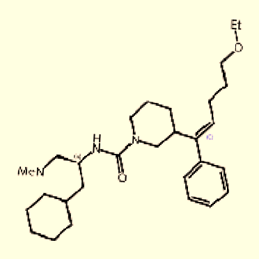 CCOCCC/C=C(/c1ccccc1)C1CCCN(C(=O)N[C@H](CNC)CC2CCCCC2)C1